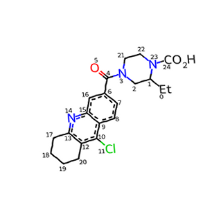 CCC1CN(C(=O)c2ccc3c(Cl)c4c(nc3c2)CCCC4)CCN1C(=O)O